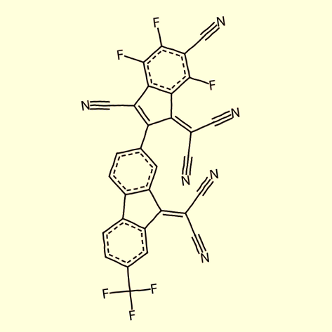 N#CC(C#N)=C1c2cc(C3=C(C#N)c4c(F)c(F)c(C#N)c(F)c4C3=C(C#N)C#N)ccc2-c2ccc(C(F)(F)F)cc21